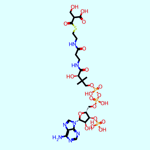 CC(C)(COP(=O)(O)OP(=O)(O)OC[C@H]1O[C@@H](n2cnc3c(N)ncnc32)[C@H](O)[C@@H]1OP(=O)(O)O)[C@@H](O)C(=O)NCCC(=O)NCCSC(=O)C(CO)C(=O)O